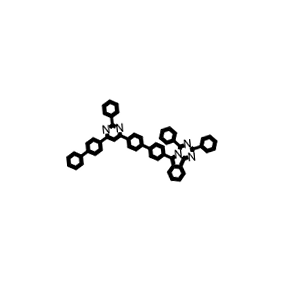 c1ccc(-c2ccc(-c3cc(-c4ccc(-c5ccc(-c6c7ccccc7c7nc(-c8ccccc8)nc(-c8ccccc8)n67)cc5)cc4)nc(-c4ccccc4)n3)cc2)cc1